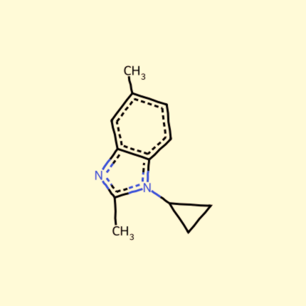 Cc1ccc2c(c1)nc(C)n2C1CC1